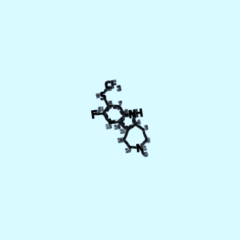 CN1CCc2[nH]c3cc(SC(F)(F)F)c(F)cc3c2CC1